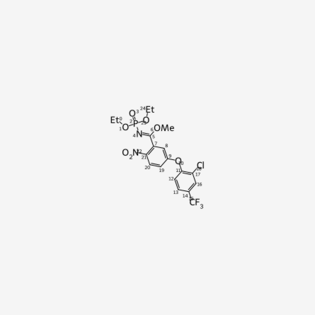 CCOP(=O)(N=C(OC)c1cc(Oc2ccc(C(F)(F)F)cc2Cl)ccc1[N+](=O)[O-])OCC